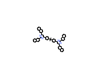 CC(C)(c1ccc(-c2cc(-c3ccc4ccccc4c3)nc(C3=CC=C4C=CC=CC4C3)n2)cc1)c1ccc(-c2cc(-c3ccc4ccccc4c3)nc(-c3ccc4ccccc4c3)n2)cc1